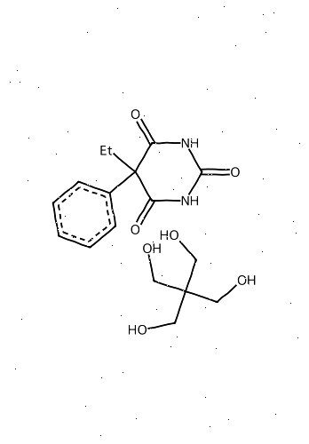 CCC1(c2ccccc2)C(=O)NC(=O)NC1=O.OCC(CO)(CO)CO